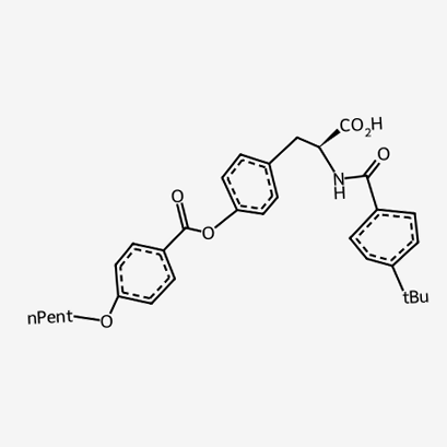 CCCCCOc1ccc(C(=O)Oc2ccc(C[C@H](NC(=O)c3ccc(C(C)(C)C)cc3)C(=O)O)cc2)cc1